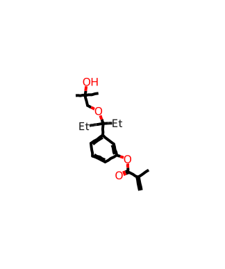 C=C(C)C(=O)Oc1cccc(C(CC)(CC)OCC(C)(C)O)c1